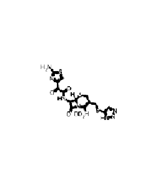 Nc1nc(C(=O)C(=O)NC2C(=O)N3C(C(=O)O)=C(CSc4cnn[nH]4)CS[C@@H]23)cs1